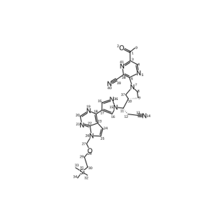 CC(=O)c1cnc(N2CC[C@H]([C@H](CC#N)n3cc(-c4ncnc5c4ccn5COCC[Si](C)(C)C)cn3)C2)c(C#N)n1